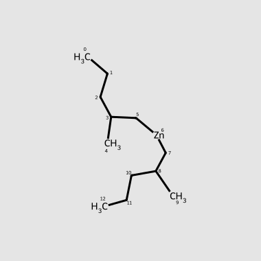 CCCC(C)[CH2][Zn][CH2]C(C)CCC